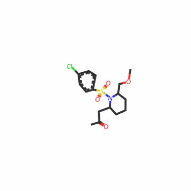 COCC1CCCC(CC(C)=O)N1S(=O)(=O)c1ccc(Cl)cc1